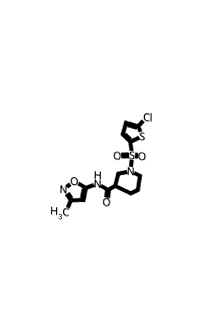 Cc1cc(NC(=O)C2CCCN(S(=O)(=O)c3ccc(Cl)s3)C2)on1